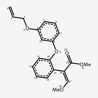 C=CCOc1cccc(Oc2ccccc2/C(=C\OC)C(=O)OC)c1